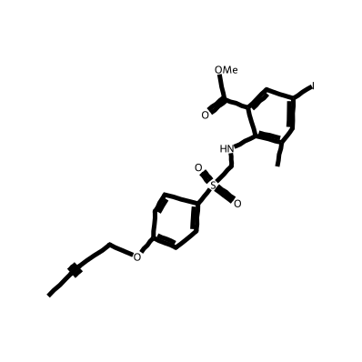 CC#CCOc1ccc(S(=O)(=O)CNc2c(C)cc(I)cc2C(=O)OC)cc1